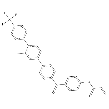 C=CC(=O)Oc1ccc(C(=O)c2ccc(-c3ccc(-c4ccc(C(F)(F)F)cc4)c(C)c3)cc2)cc1